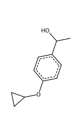 CC(O)c1ccc(OC2CC2)cc1